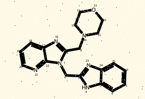 c1ccc2[nH]c(Cn3c(CN4CCOCC4)nc4cccnc43)nc2c1